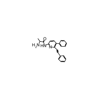 CC(N)C(=O)Nc1ccc(-c2ccccc2)c(C#Cc2ccccc2)n1